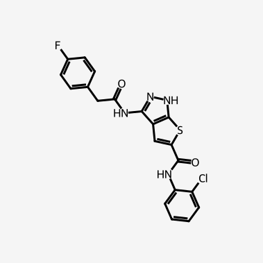 O=C(Cc1ccc(F)cc1)Nc1n[nH]c2sc(C(=O)Nc3ccccc3Cl)cc12